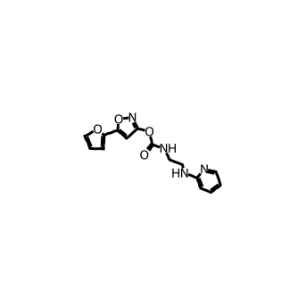 O=C(NCCNc1ccccn1)Oc1cc(-c2ccco2)on1